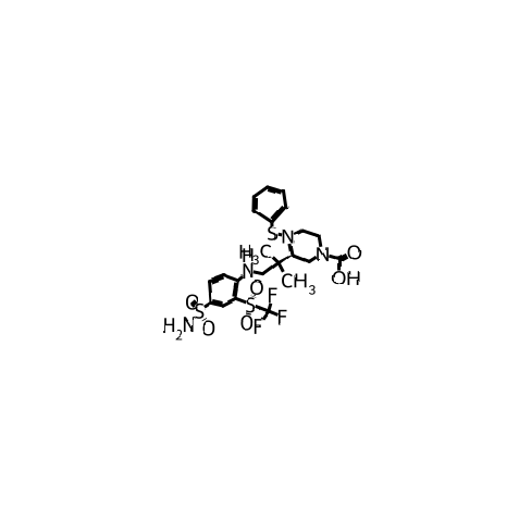 CC(C)(CNc1ccc(S(N)(=O)=O)cc1S(=O)(=O)C(F)(F)F)[C@@H]1CN(C(=O)O)CCN1Sc1ccccc1